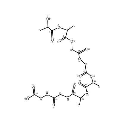 CC(O)C(=O)OC(C)C(=O)OCC(=O)OCC(=O)OC(C)C(=O)OC(C)C(=O)OCC(=O)OCC(=O)O